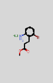 COC(=O)CCc1c(N)cccc1Br.Cl